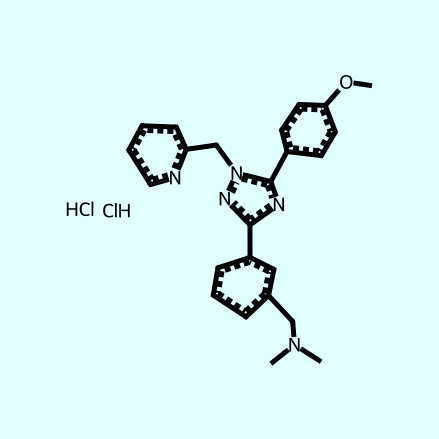 COc1ccc(-c2nc(-c3cccc(CN(C)C)c3)nn2Cc2ccccn2)cc1.Cl.Cl